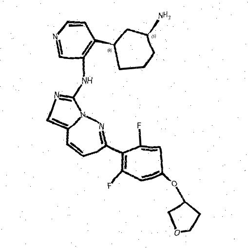 N[C@H]1CCC[C@@H](c2ccncc2Nc2ncc3ccc(-c4c(F)cc(OC5CCOC5)cc4F)nn23)C1